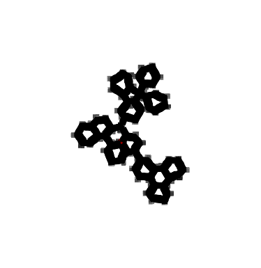 c1ccc(-c2c(N(c3ccc(-c4ccc5c6ccccc6c6ccccc6c5c4)cc3)c3ccc4c(c3)-c3ccccc3C4(c3ccccc3)c3ccccc3)ccc3ccccc23)cc1